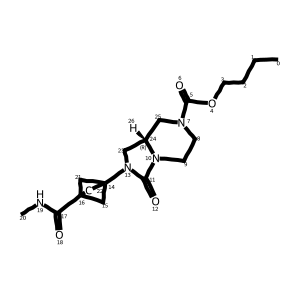 CCCCOC(=O)N1CCN2C(=O)N(C34CC(C(=O)NC)(C3)C4)C[C@@H]2C1